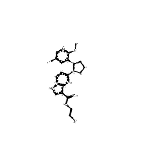 COc1ncc(F)cc1[C@H]1CCCN1c1ccn2ncc(C(=O)OCCCl)c2n1